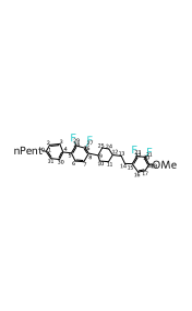 CCCCCc1ccc(-c2ccc(C3CCC(CCc4ccc(OC)c(F)c4F)CC3)c(F)c2F)cc1